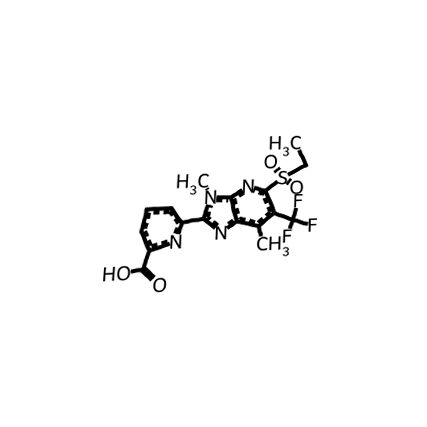 CCS(=O)(=O)c1nc2c(nc(-c3cccc(C(=O)O)n3)n2C)c(C)c1C(F)(F)F